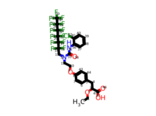 CCOC(Cc1ccc(OCCN(CC(F)(F)C(F)(F)C(F)(F)C(F)(F)C(F)(F)C(F)(F)F)C(=O)Nc2ccccc2Cl)cc1)C(=O)O